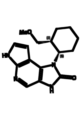 COC[C@@H]1CCCC[C@@H]1n1c(=O)[nH]c2cnc3[nH]ccc3c21